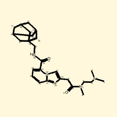 CN(C)CCN(C)C(=O)Cc1cn2c(C(=O)NCC34CC5CC(CC(C5)C3)C4)cccc2n1